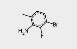 Cc1ccc(Br)c(F)c1N